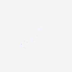 CCN1CCC2(CC1)CCN(c1ccncc1)C2